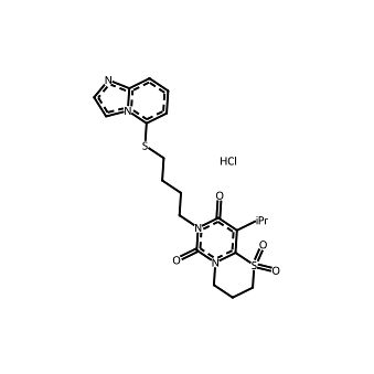 CC(C)c1c2n(c(=O)n(CCCCSc3cccc4nccn34)c1=O)CCCS2(=O)=O.Cl